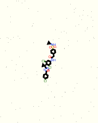 O=C(Cc1ccc(S(=O)(=O)NC2CC2)cc1)Nc1cc(Cl)c(C2(c3noc(-c4ccc(Cl)cc4)n3)CC2)c(Cl)c1